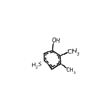 Cc1cccc(O)c1C.S